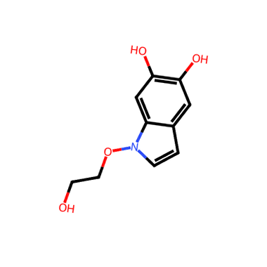 OCCOn1ccc2cc(O)c(O)cc21